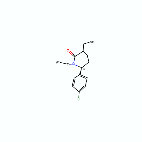 CC(=O)CC1CC[C@@H](c2ccc(Cl)cc2)N(CC(C)C)C1=O